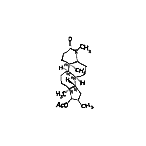 CC(=O)OC1C(C)C[C@H]2[C@@H]3CCC4N(C)C(=O)CC[C@]4(C)[C@@H]3CC[C@]12C